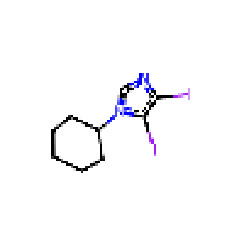 Ic1ncn(C2CCCCC2)c1I